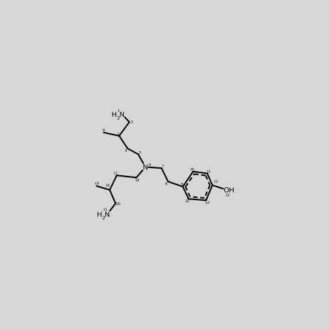 CC(CN)CCN(CCc1ccc(O)cc1)CCC(C)CN